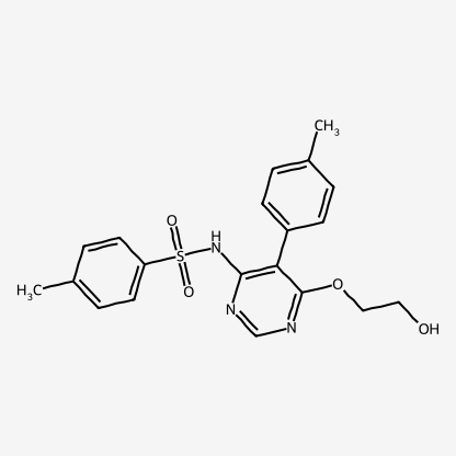 Cc1ccc(-c2c(NS(=O)(=O)c3ccc(C)cc3)ncnc2OCCO)cc1